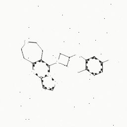 Cc1ccc(Cl)c(OC2CN(c3c4c(nc5ccnn35)CCNCC4)C2)c1